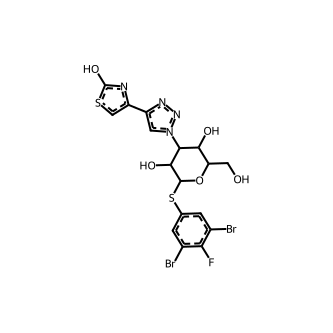 OCC1OC(Sc2cc(Br)c(F)c(Br)c2)C(O)C(n2cc(-c3csc(O)n3)nn2)C1O